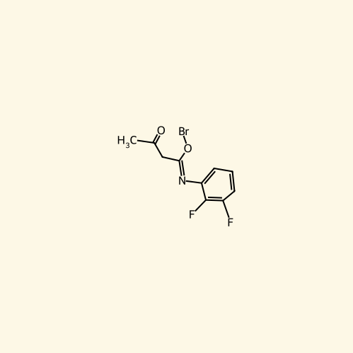 CC(=O)CC(=Nc1cccc(F)c1F)OBr